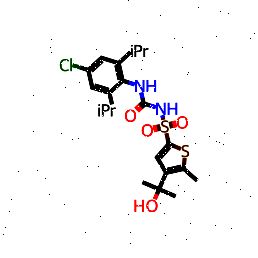 Cc1sc(S(=O)(=O)NC(=O)Nc2c(C(C)C)cc(Cl)cc2C(C)C)cc1C(C)(C)O